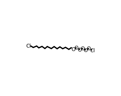 ClCCCCCCCCCCCCCCOOOOOOCl